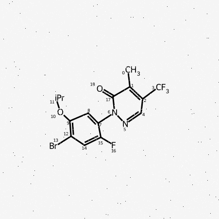 Cc1c(C(F)(F)F)cnn(-c2cc(OC(C)C)c(Br)cc2F)c1=O